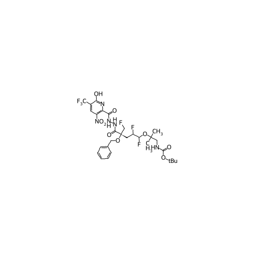 CC(C)(C)OC(=O)NCC(C)(C)OC(F)C(F)C[C@@](CF)(OCc1ccccc1)C(=O)NNC(=O)c1nc(O)c(C(F)(F)F)cc1[N+](=O)[O-]